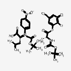 CC(C)C[C@@H](C(=O)O)N(C(=O)OC(C)(C)C)c1ccc([N+](=O)[O-])cc1.C[C@@H](NC(=O)OC(C)(C)C)C(=O)Oc1cc(Cl)cc(Cl)c1Cl